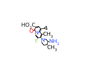 Cc1c(N2CCC(C)C(N)C2)c(F)cn2c(=O)c(C(=O)O)cc(C3CC3)c12